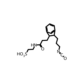 O=C=NCCCC1c2cccc(c2)C1CCC(=O)NCCS(=O)(=O)O